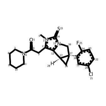 Cn1c(CC(=O)N2CCCCC2)c2n(c1=S)C[C@@]1(c3cc(Cl)ccc3F)C[C@@H]21